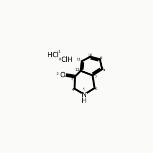 Cl.Cl.O=C1CNCc2ccccc21